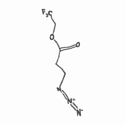 [N-]=[N+]=NCCC(=O)OCC(F)(F)F